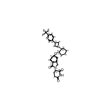 O=C1CC[C@H](N2Cc3cc(O[C@@H]4CCCC[C@@H]4N4CC(c5ccc(C(F)(F)F)nc5)C4)ccc3C2=O)C(=O)N1